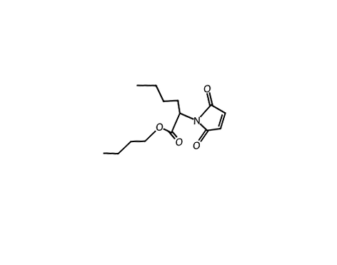 CCCCOC(=O)C(CCCC)N1C(=O)C=CC1=O